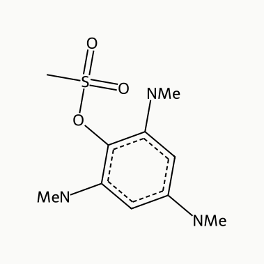 CNc1cc(NC)c(OS(C)(=O)=O)c(NC)c1